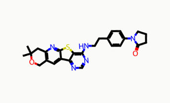 CC1(C)Cc2nc3sc4c(NCCc5ccc(N6CCCC6=O)cc5)ncnc4c3cc2CO1